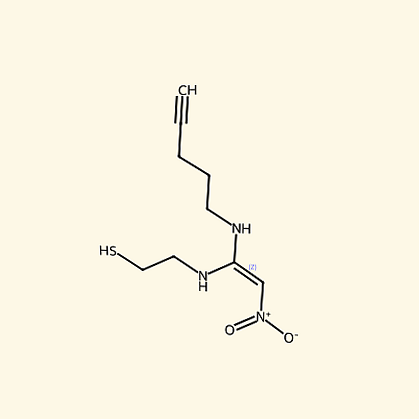 C#CCCCN/C(=C/[N+](=O)[O-])NCCS